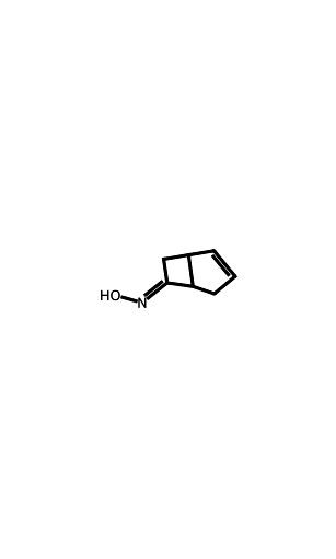 ON=C1CC2C=CCC12